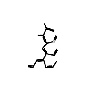 C=C/C=C(\C=C/C)C(/C=C)=C/C(N=C)=C(\C)C(=C)C